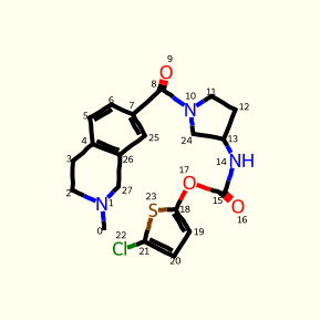 CN1CCc2ccc(C(=O)N3CCC(NC(=O)Oc4ccc(Cl)s4)C3)cc2C1